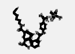 CCCCCCNC(=O)c1ccc(-c2ccccc2C(=O)Nc2ccc(C(=N)N)cc2)c(C(=O)O)c1.CS(=O)(=O)O